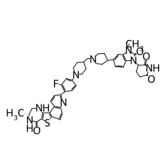 C[C@@H]1CNc2c(sc3ccc4nc(-c5ccc(N6CCC(CN7CCC(c8ccc9c(c8)n(C)c(=O)n9C8CCC(=O)NC8=O)CC7)CC6)cc5F)ccc4c23)C(=O)N1